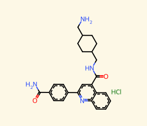 Cl.NCC1CCC(CNC(=O)c2cc(-c3ccc(C(N)=O)cc3)nc3ccccc23)CC1